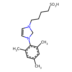 Cc1cc(C)c(N2C=CN(CCCCS(=O)(=O)O)C2)c(C)c1